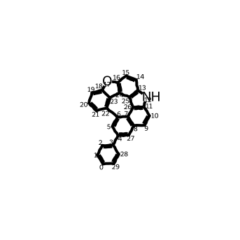 c1ccc(-c2cc3c4c(ccc5[nH]c6ccc7oc8cccc-3c8c7c6c54)c2)cc1